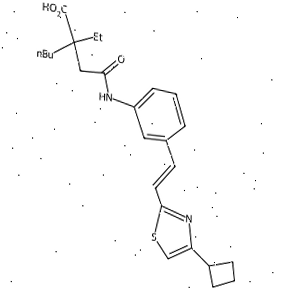 CCCCC(CC)(CC(=O)Nc1cccc(/C=C/c2nc(C3CCC3)cs2)c1)C(=O)O